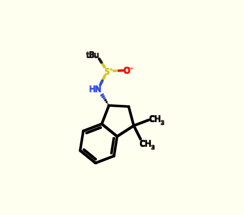 CC1(C)C[C@@H](N[S+]([O-])C(C)(C)C)c2ccccc21